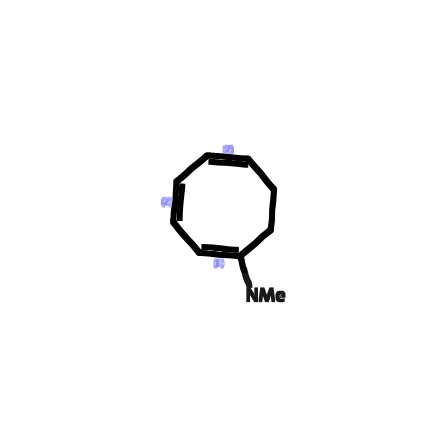 CN/C1=C/C=C\C=C/CC1